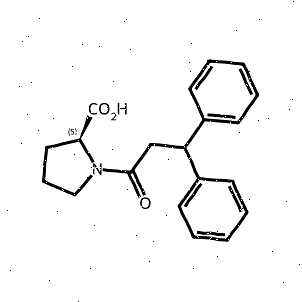 O=C(O)[C@@H]1CCCN1C(=O)CC(c1ccccc1)c1ccccc1